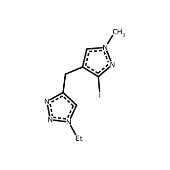 CCn1cc(Cc2cn(C)nc2I)nn1